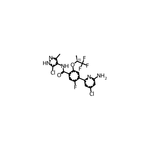 Cc1n[nH]c(Cl)c1NC(=O)c1cc(F)c(-c2cc(Cl)cc(N)n2)cc1O[C@@H](C)C(F)(F)F